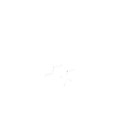 C=C/C(C)=C\C(=C)S(C)(=O)=O